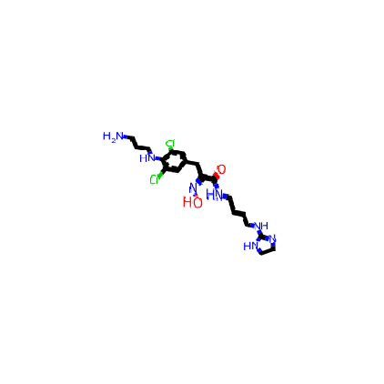 NCCCNc1c(Cl)cc(CC(=NO)C(=O)NCCCCNC2=NCCN2)cc1Cl